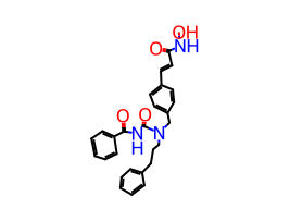 O=C(C=Cc1ccc(CN(CCCc2ccccc2)C(=O)NC(=O)c2ccccc2)cc1)NO